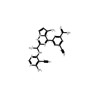 Cc1ccn2nc(C(C)Nc3ncnc(N)c3C#N)nc(-c3cc(C#N)cc(C(=O)O)c3)c12